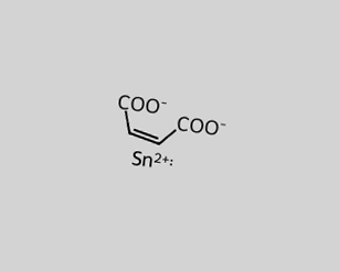 O=C([O-])/C=C\C(=O)[O-].[Sn+2]